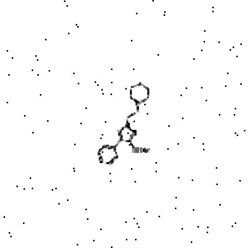 CC(=O)Nc1nn(CCN2CCCCC2)cc1-c1ccccc1